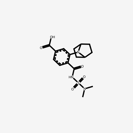 CN(C)S(=O)(=O)NC(=O)c1ccc(C(=O)O)cc1N1C2CCC1CC2